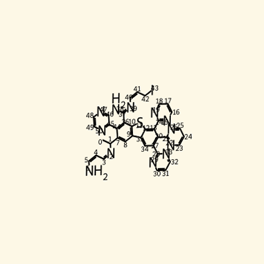 CC(/N=C\C=C/N)c1cc2c(sc3c(-c4ncccn4)c(-c4ncccn4)c(-c4ncccn4)cc32)c(/C(N)=N/C=C\CI)c1-c1cnccn1